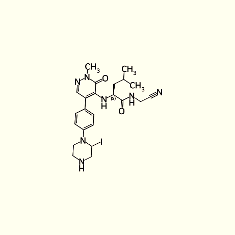 CC(C)C[C@H](Nc1c(-c2ccc(N3CCNCC3I)cc2)cnn(C)c1=O)C(=O)NCC#N